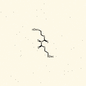 CCCCCCCCCCCCSC(=S)S(=S)C(=S)SCCCCCCCCCCCC